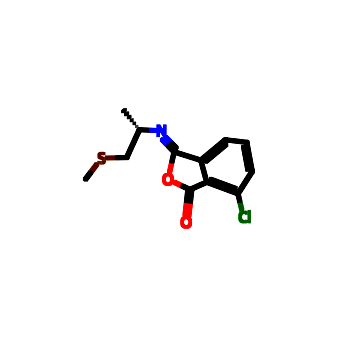 CSC[C@H](C)N=C1OC(=O)c2c(Cl)cccc21